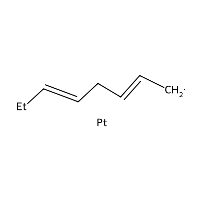 [CH2]C=CCC=CCC.[Pt]